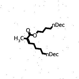 CCCCCCCCCCCCCCC=C(C)C(=O)OCCCCCCCCCCCCCC